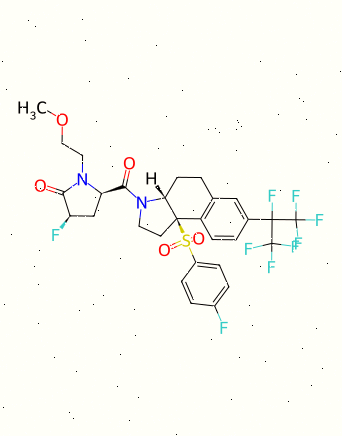 COCCN1C(=O)[C@H](F)C[C@@H]1C(=O)N1CC[C@@]2(S(=O)(=O)c3ccc(F)cc3)c3ccc(C(F)(C(F)(F)F)C(F)(F)F)cc3CC[C@@H]12